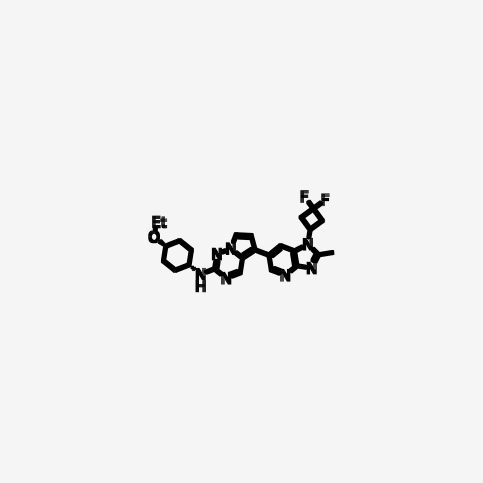 CCO[C@H]1CC[C@H](Nc2ncc3c(-c4cnc5nc(C)n(C6CC(F)(F)C6)c5c4)ccn3n2)CC1